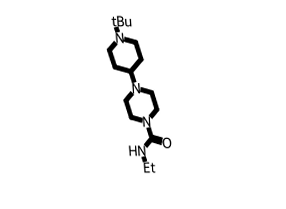 CCNC(=O)N1CCN(C2CCN(C(C)(C)C)CC2)CC1